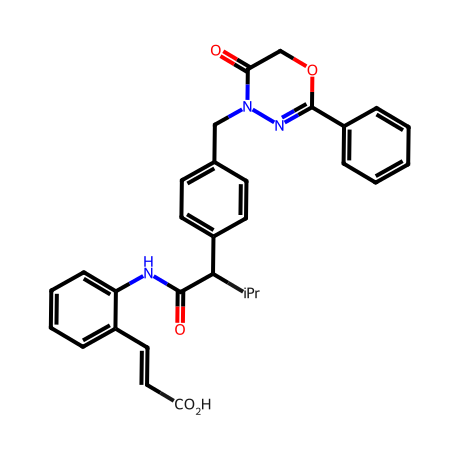 CC(C)C(C(=O)Nc1ccccc1C=CC(=O)O)c1ccc(CN2N=C(c3ccccc3)OCC2=O)cc1